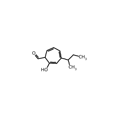 CCC(C)C1=CC=CC(C=O)C(O)=C1